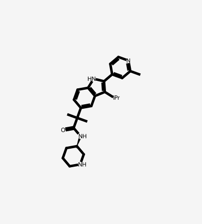 Cc1cc(-c2[nH]c3ccc(C(C)(C)C(=O)N[C@@H]4CCCNC4)cc3c2C(C)C)ccn1